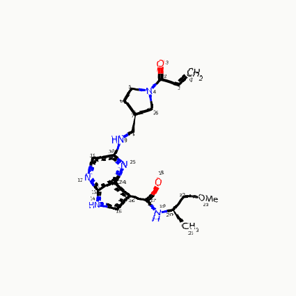 C=CC(=O)N1CC[C@H](CNc2cnc3[nH]cc(C(=O)N[C@H](C)COC)c3n2)C1